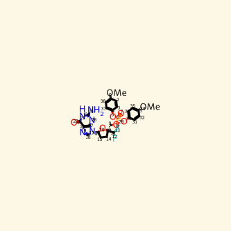 COc1ccc(OP(=O)(OC[C@]2(C(F)F)CC[C@H](n3cnc4c(=O)[nH]c(N)nc43)O2)Oc2ccc(OC)cc2)cc1